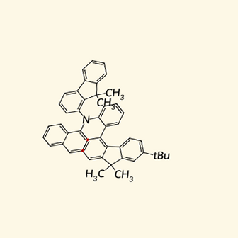 CC(C)(C)c1ccc2c(c1)C(C)(C)c1cccc(-c3ccccc3N(c3cccc4c3C(C)(C)c3ccccc3-4)c3cccc4ccccc34)c1-2